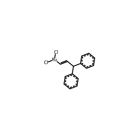 [Cl][Ru]([Cl])[CH]=CC(c1ccccc1)c1ccccc1